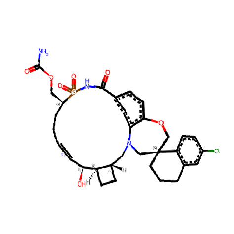 NC(=O)OC[C@@H]1CC/C=C\[C@H](O)[C@@H]2CC[C@H]2CN2C[C@@]3(CCCc4cc(Cl)ccc43)COc3ccc(cc32)C(=O)NS1(=O)=O